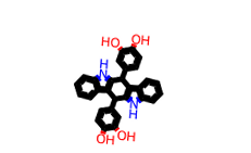 Oc1ccc(C2c3[nH]c4ccccc4c3C(c3ccc(O)c(O)c3)c3[nH]c4ccccc4c32)cc1O